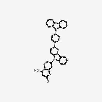 N#Cc1cc(=O)sc2cc(-n3c4ccccc4c4cc(-c5ccc(-n6c7ccccc7c7ccccc76)cc5)ccc43)ccc12